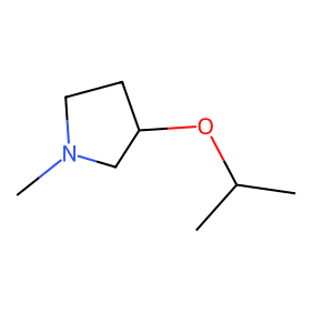 CC(C)OC1CCN(C)C1